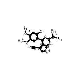 COc1cc(Cl)c(-c2nc(C(C)C)nc3[nH]cc(C#N)c23)cc1OC